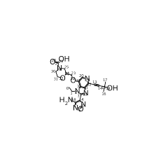 CCn1c(-c2nonc2N)nc2c(C#CC(C)(C)O)ncc(OC[C@@H]3CN(C(=O)O)CCO3)c21